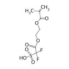 C=C(C)C(=O)OCCOC(=O)C(F)(F)S(=O)(=O)O